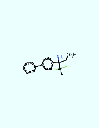 [CH2]C(F)(F)C(N)(CC(=O)O)c1ccc(-c2ccccc2)cc1